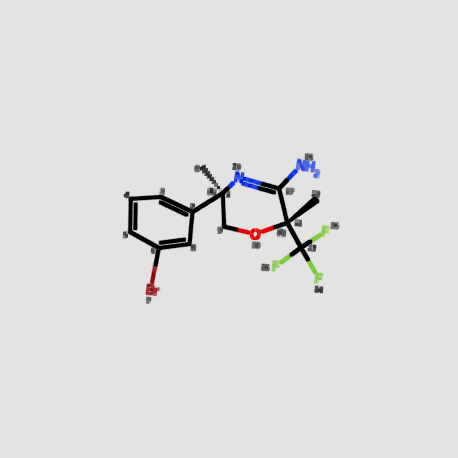 C[C@@]1(c2cccc(Br)c2)CO[C@@](C)(C(F)(F)F)C(N)=N1